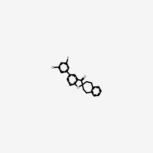 O=C1c2cc(-c3cc(F)cc(Cl)c3)ccc2OC12CCc1ccccc1CC2